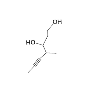 CC#CC(C)C(O)CCO